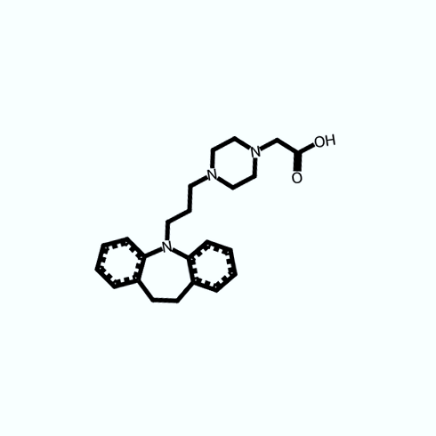 O=C(O)CN1CCN(CCCN2c3ccccc3CCc3ccccc32)CC1